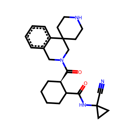 N#CC1(NC(=O)C2CCCC[C@H]2C(=O)N2Cc3ccccc3C3(CCNCC3)C2)CC1